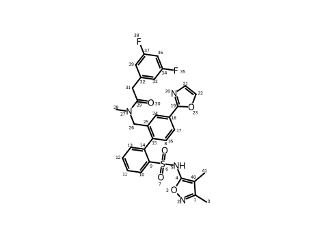 Cc1noc(NS(=O)(=O)c2ccccc2-c2ccc(-c3ncco3)cc2CN(C)C(=O)Cc2cc(F)cc(F)c2)c1C